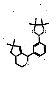 CC1(C)C=C2C(CCOC2c2cccc(B3OC(C)(C)C(C)(C)O3)c2)C1